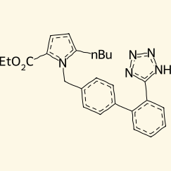 CCCCc1ccc(C(=O)OCC)n1Cc1ccc(-c2ccccc2-c2nnn[nH]2)cc1